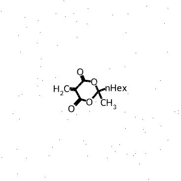 C=C1C(=O)OC(C)(CCCCCC)OC1=O